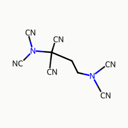 N#CN(C#N)CCC(C#N)(C#N)N(C#N)C#N